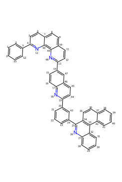 c1ccc(-c2ccc3ccc4ccc(-c5ccc6nc(-c7cccc(-c8nc9ccccc9c9c8ccc8ccccc89)c7)ccc6c5)nc4c3n2)cc1